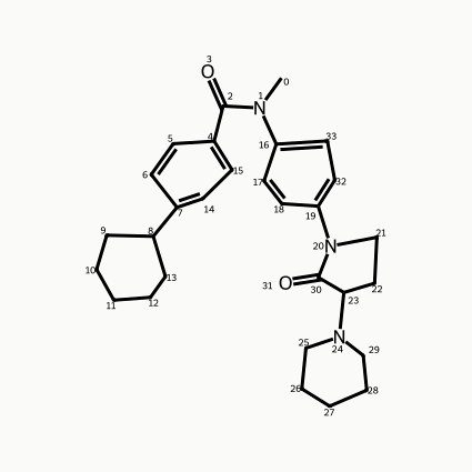 CN(C(=O)c1ccc(C2CCCCC2)cc1)c1ccc(N2CCC(N3CCCCC3)C2=O)cc1